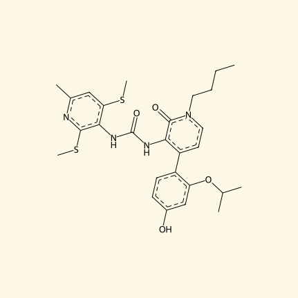 CCCCn1ccc(-c2ccc(O)cc2OC(C)C)c(NC(=O)Nc2c(SC)cc(C)nc2SC)c1=O